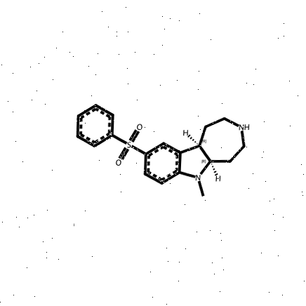 CN1c2ccc(S(=O)(=O)c3ccccc3)cc2[C@H]2CCNCC[C@H]21